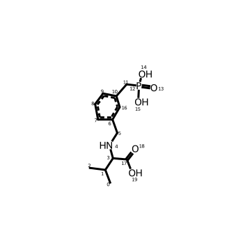 CC(C)C(NCc1cccc(CP(=O)(O)O)c1)C(=O)O